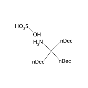 CCCCCCCCCCC(N)(CCCCCCCCCC)CCCCCCCCCC.O=S(=O)(O)O